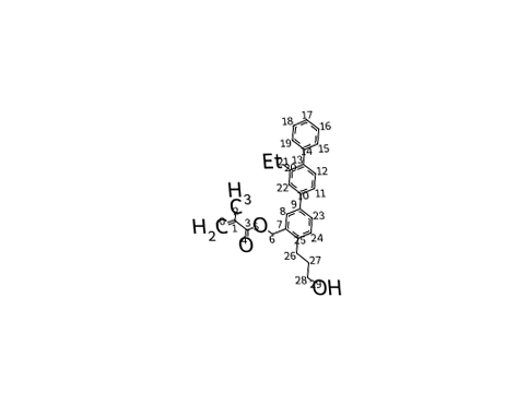 C=C(C)C(=O)OCc1cc(-c2ccc(-c3ccccc3)c(CC)c2)ccc1CCCO